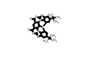 CC(C)(C)c1cc2c3c(c1)nc1oc(=O)c4cc5c(=O)oc6nc7cc(C(C)(C)C)cc8c7n6c5c(c4n13)B28